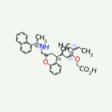 C=C(/C=C(OCC(=O)O)\C(C)=C/C)[C@@H]1C[C@H](CN[C@H](C)c2cccc3ccccc23)Oc2ccccc21